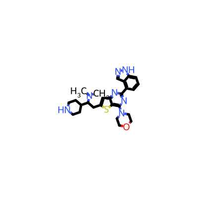 CN(C)C(Cc1cc2nc(-c3cccc4[nH]ncc34)nc(N3CCOCC3)c2s1)C1CCNCC1